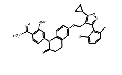 CNc1cc(N2C(=O)CCc3cc(OCc4c(-c5c(C)cccc5Cl)noc4C4CC4)ccc32)ccc1C(=N)C(=O)O